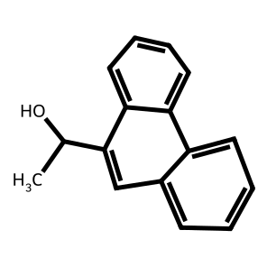 CC(O)c1cc2ccccc2c2ccccc12